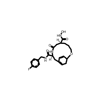 O=C1C[C@@H](C(=O)NO)CCCOC2C=CC(=CC2)C[C@@H](C(=O)NCc2ccc(F)cc2)N1